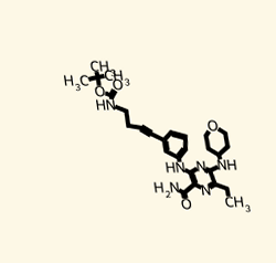 CCc1nc(C(N)=O)c(Nc2cccc(C#CCCNC(=O)OC(C)(C)C)c2)nc1NC1CCOCC1